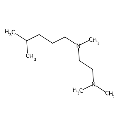 CC(C)CCCN(C)CCN(C)C